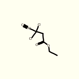 [C-]#[N+]C(Cl)(Cl)CC(=O)OCC